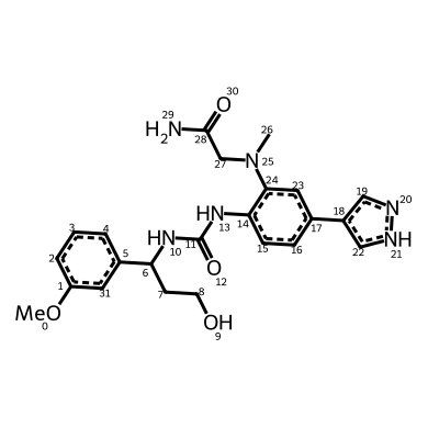 COc1cccc(C(CCO)NC(=O)Nc2ccc(-c3cn[nH]c3)cc2N(C)CC(N)=O)c1